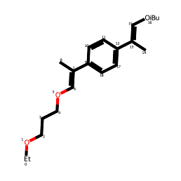 CCOCCCOC=C(C)c1ccc(C(C)=COCC(C)C)cc1